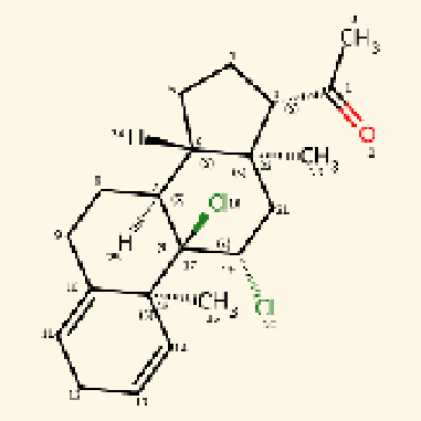 CC(=O)[C@H]1CC[C@H]2[C@@H]3CCC4=CCC=C[C@]4(C)[C@@]3(Cl)[C@@H](Cl)C[C@]12C